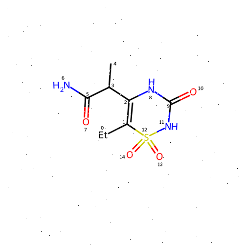 CCC1=C(C(C)C(N)=O)NC(=O)NS1(=O)=O